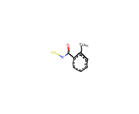 CC(=O)Oc1ccccc1C(=O)[N+]S